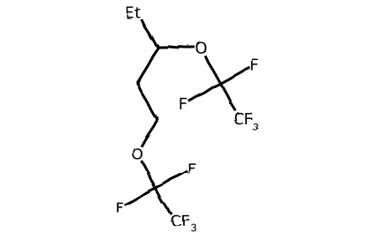 [CH2]CC(CCOC(F)(F)C(F)(F)F)OC(F)(F)C(F)(F)F